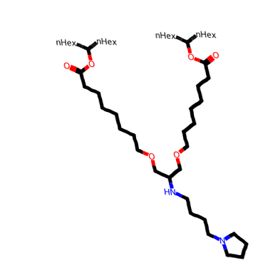 CCCCCCC(CCCCCC)OC(=O)CCCCCCCOCC(COCCCCCCCC(=O)OC(CCCCCC)CCCCCC)NCCCCN1CCCC1